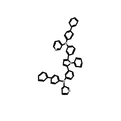 c1ccc(-c2ccc(N(c3cccnc3)c3cccc(-c4ccc(-c5cccc(N(c6ccc(-c7ccccc7)cc6)c6cccnc6)c5)n4-c4ccccc4)c3)cc2)cc1